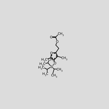 CC(=O)OCCc1oc(C)c(O[Si](C(C)C)(C(C)C)C(C)C)c1C